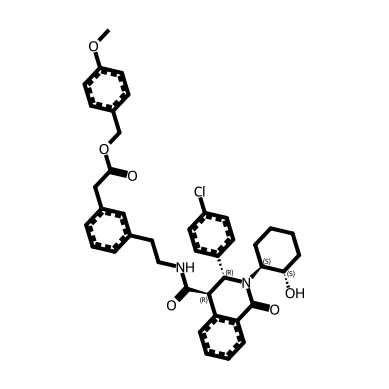 COc1ccc(COC(=O)Cc2cccc(CCNC(=O)[C@@H]3c4ccccc4C(=O)N([C@H]4CCCC[C@@H]4O)[C@H]3c3ccc(Cl)cc3)c2)cc1